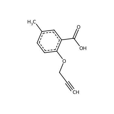 C#CCOc1ccc(C)cc1C(=O)O